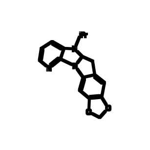 CC(C)N1c2cccnc2N2c3cc4c(cc3CC21)OCO4